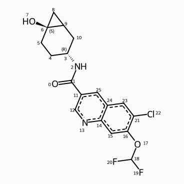 O=C(N[C@@H]1CC[C@]2(O)CC2C1)c1cnc2cc(OC(F)F)c(Cl)cc2c1